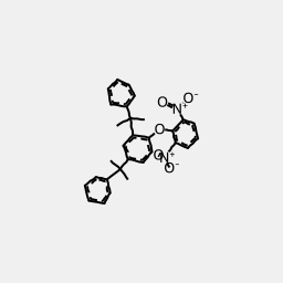 CC(C)(c1ccccc1)c1ccc(Oc2c([N+](=O)[O-])cccc2[N+](=O)[O-])c(C(C)(C)c2ccccc2)c1